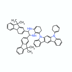 CC1(C)C2=CC(C3NC4=CCCC(n5c6ccccc6c6cc7c8ccccc8n(C8=CC=CCC8)c7cc65)=C4NC3c3ccc4c(c3)C(C)(C)c3ccccc3-4)=CCC2c2ccccc21